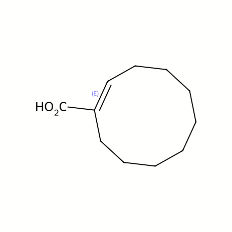 O=C(O)/C1=C/CCCCCCCC1